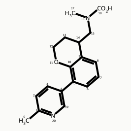 Cc1ccc(-c2cccc3c2OCCC3CN(C)C(=O)O)cn1